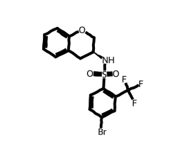 O=S(=O)(N[C@@H]1COc2ccccc2C1)c1ccc(Br)cc1C(F)(F)F